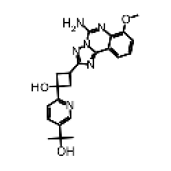 COc1cccc2c1nc(N)n1nc(C3CC(O)(c4ccc(C(C)(C)O)cn4)C3)nc21